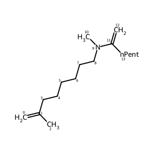 C=C(C)CCCCCCN(C)C(=C)CCCCC